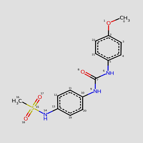 COc1ccc(NC(=O)Nc2ccc(NS(C)(=O)=O)cc2)cc1